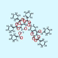 O=C(OC[C@H]1O[C@H](Oc2ccc3c(OCc4ccccc4)c(OC(=O)c4ccccc4)c(=O)oc3c2)[C@@H](OC(=O)c2ccccc2)[C@@H](OC(=O)c2ccccc2)[C@@H]1OC(=O)c1ccccc1)c1ccccc1